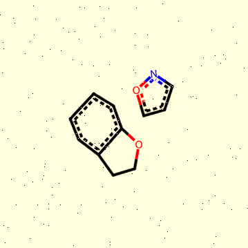 c1ccc2c(c1)CCO2.c1cnoc1